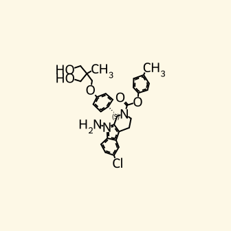 Cc1ccc(OC(=O)N2CCc3c(n(N)c4ccc(Cl)cc34)[C@@H]2c2ccc(OCC(C)(CO)CO)cc2)cc1